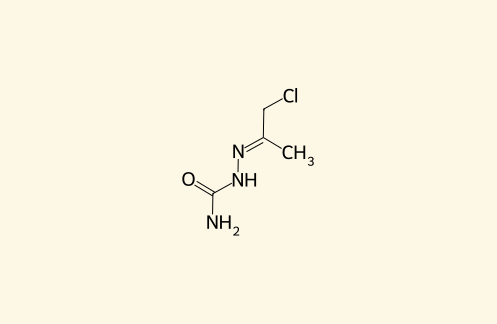 C/C(CCl)=N\NC(N)=O